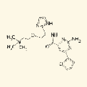 C[Si](C)(C)CCOCC(NC(=O)c1cc(-c2ccco2)nc(N)n1)c1ncc[nH]1